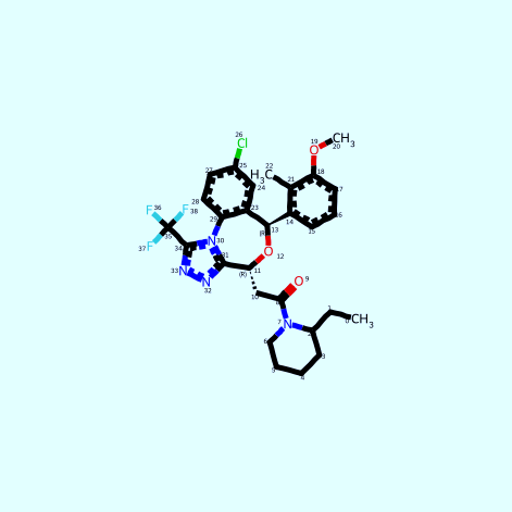 CCC1CCCCN1C(=O)C[C@H]1O[C@H](c2cccc(OC)c2C)c2cc(Cl)ccc2-n2c1nnc2C(F)(F)F